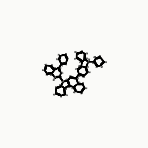 c1ccc(-c2nc(-n3c4ccccc4c4c5ccccc5c(-c5ccc6c(c5)c5ccccc5n6-c5ccccc5)cc43)nc3ccccc23)cc1